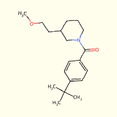 COCCC1CCCN(C(=O)c2ccc(C(C)(C)C)cc2)C1